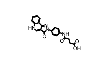 O=C(O)CCC(=O)Nc1ccc(-n2nc3c4ccccc4[nH]cc-3c2=O)cc1